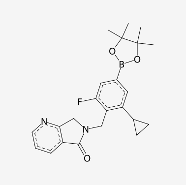 CC1(C)OB(c2cc(F)c(CN3Cc4ncccc4C3=O)c(C3CC3)c2)OC1(C)C